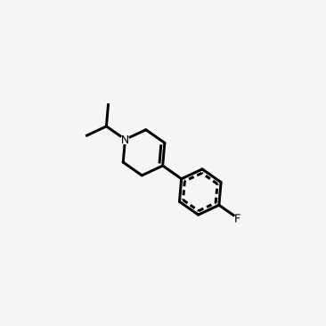 CC(C)N1CC=C(c2ccc(F)cc2)CC1